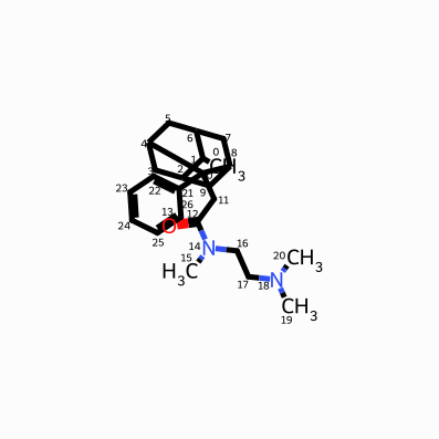 CC1C2CC3CC1CC(C2)C3(CC(=O)N(C)CCN(C)C)c1ccccc1